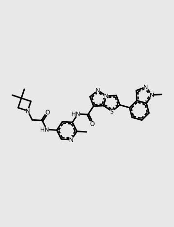 Cc1ncc(NC(=O)CN2CC(C)(C)C2)cc1NC(=O)c1cnn2cc(-c3cccc4c3cnn4C)sc12